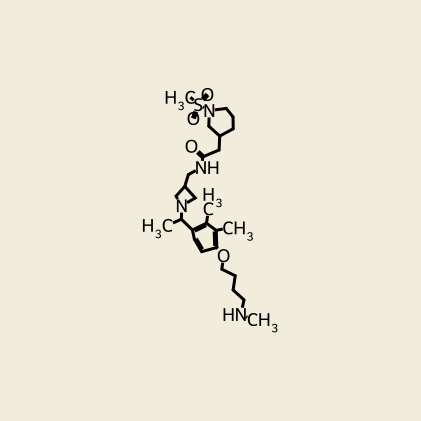 CNCCCCOc1ccc(C(C)N2CC(CNC(=O)CC3CCCN(S(C)(=O)=O)C3)C2)c(C)c1C